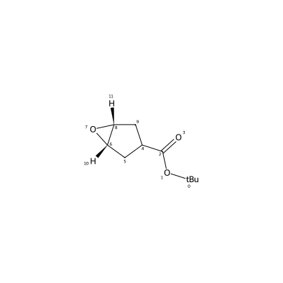 CC(C)(C)OC(=O)C1C[C@@H]2O[C@@H]2C1